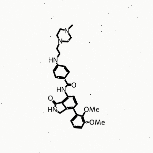 COc1cccc(-c2ccc(NC(=O)c3ccc(NCCN4CCN(C)CC4)cc3)c3c2CNC3=O)c1OC